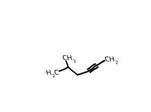 [CH2]C#CCC([CH2])C